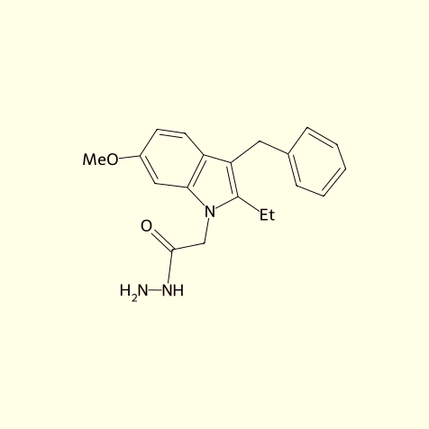 CCc1c(Cc2ccccc2)c2ccc(OC)cc2n1CC(=O)NN